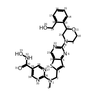 CN(Cc1cc2nc(N3CCOC(c4ccccc4CO)C3)ncc2s1)c1ncc(C(=O)NO)cn1